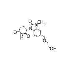 Cn1c(=O)n(C2CCC(=O)NC2=O)c2ccc(COCCO)cc21